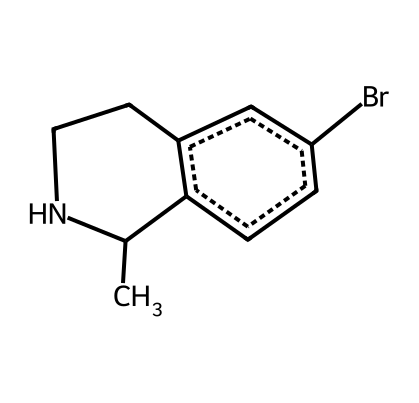 CC1NCCc2cc(Br)ccc21